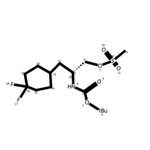 CC(C)(C)OC(=O)N[C@@H](COS(C)(=O)=O)CC1CCC(F)(F)CC1